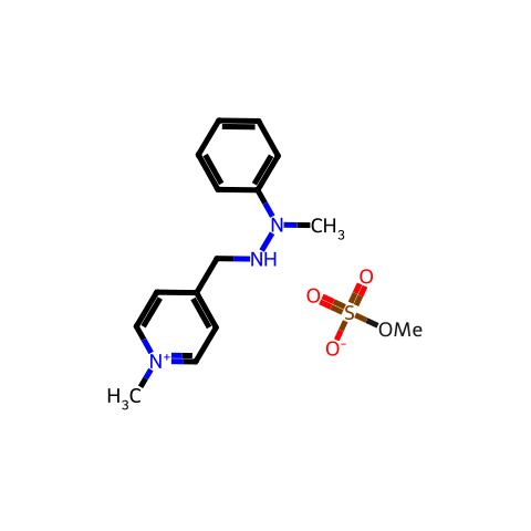 CN(NCc1cc[n+](C)cc1)c1ccccc1.COS(=O)(=O)[O-]